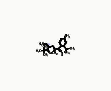 C=C(C/C(=C/N)C(=N)C(C)(C)C)C(=N)c1ccc(C)cc1C(C)C